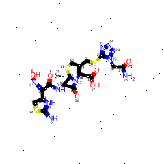 N=c1[nH]c(/C(=N/O)C(=O)NC2C(=O)N3C(C(=O)O)=C(CSc4nnnn4CC(N)=O)CS[C@H]23)cs1